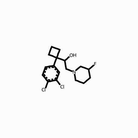 OC(CN1CCCC(F)C1)C1(c2ccc(Cl)c(Cl)c2)CCC1